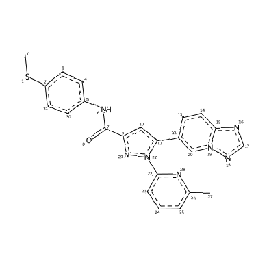 CSc1ccc(NC(=O)c2cc(-c3ccc4ncnn4c3)n(-c3cccc(C)n3)n2)cc1